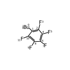 CCC(C)c1c(F)c(F)c(F)c(F)c1F